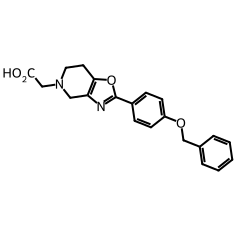 O=C(O)CN1CCc2oc(-c3ccc(OCc4ccccc4)cc3)nc2C1